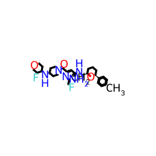 C=C(/C=C(\N=C(/N)CF)C(=O)N1CCC(NC2CCOCC2F)CC1)NC[C@H]1CCC[C@@H](c2ccc(C)cc2)O1